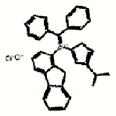 CC(C)C1=CC[C]([Zr+2](=[C](c2ccccc2)c2ccccc2)[c]2cccc3c2Cc2ccccc2-3)=C1.[Cl-].[Cl-]